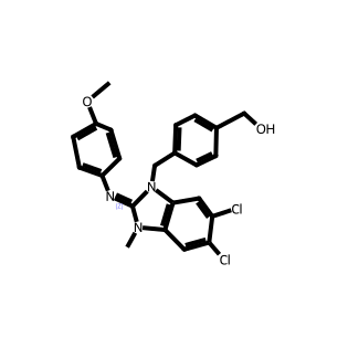 COc1ccc(/N=c2/n(C)c3cc(Cl)c(Cl)cc3n2Cc2ccc(CO)cc2)cc1